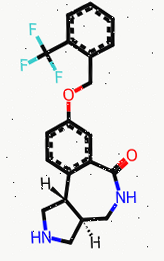 O=C1NC[C@H]2CNC[C@@H]2c2ccc(OCc3ccccc3C(F)(F)F)cc21